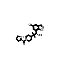 CC(C)(C1CCN(C(=O)[C@H]2CCCN2)CC1)[C@H](O)c1cc(Cl)cc2cn[nH]c12